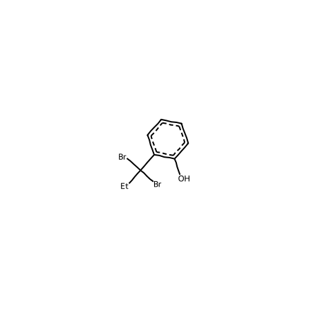 CCC(Br)(Br)c1ccccc1O